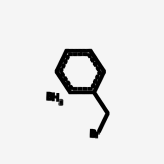 B.BrCc1ccccc1